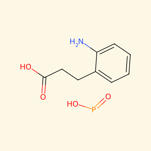 Nc1ccccc1CCC(=O)O.O=PO